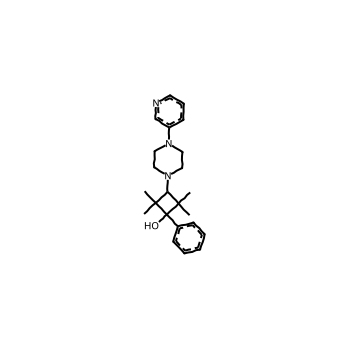 CC1(C)C(N2CCN(c3cccnc3)CC2)C(C)(C)C1(O)c1ccccc1